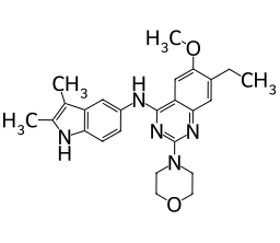 CCc1cc2nc(N3CCOCC3)nc(Nc3ccc4[nH]c(C)c(C)c4c3)c2cc1OC